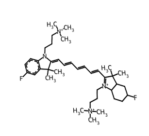 CC1(C)\C(=C/C=C/C=C/C=C/C2=[N+](CCC[N+](C)(C)C)C3CCC(F)CC3C2(C)C)N(CCC[N+](C)(C)C)c2ccc(F)cc21